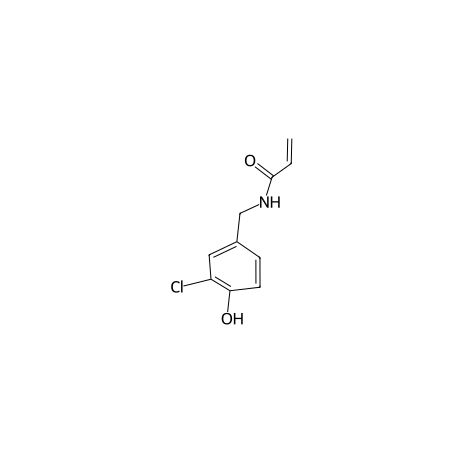 C=CC(=O)NCc1ccc(O)c(Cl)c1